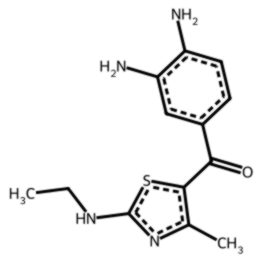 CCNc1nc(C)c(C(=O)c2ccc(N)c(N)c2)s1